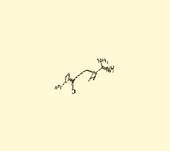 CCCOC(=O)CNC(=N)N